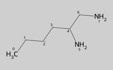 CC[CH]CC(N)CN